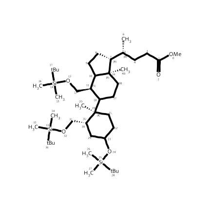 COC(=O)CC[C@@H](C)[C@H]1CCC2[C@H](CO[Si](C)(C)C(C)(C)C)C([C@@]3(C)CCC(O[Si](C)(C)C(C)(C)C)C[C@@H]3CO[Si](C)(C)C(C)(C)C)CC[C@@]21C